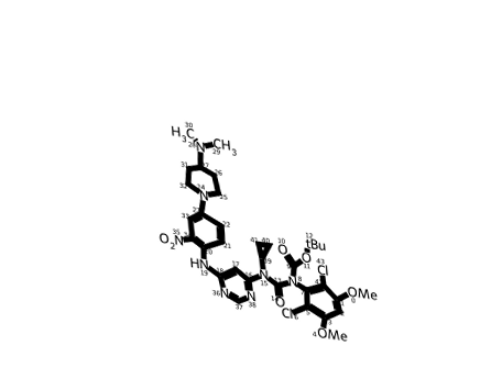 COc1cc(OC)c(Cl)c(N(C(=O)OC(C)(C)C)C(=O)N(c2cc(Nc3ccc(N4CCC(N(C)C)CC4)cc3[N+](=O)[O-])ncn2)C2CC2)c1Cl